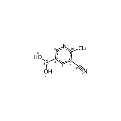 N#Cc1cc(B(O)O)cnc1Cl